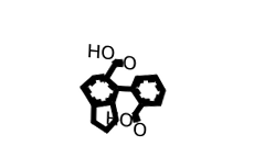 O=C(O)c1ccccc1-c1c(C(=O)O)ccc2c1CCC2